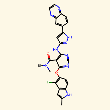 CCN(C)C(=O)c1c(Nc2cc(-c3ccc4nccnc4c3)[nH]n2)ncnc1Oc1ccc2[nH]c(C)cc2c1F